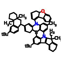 Cc1cc2c3c(c1)-n1c4c(c5cc(C(C)(C)C)cc(c51)B3C1CC=C(C3CC5(C)CCCCC5(C)c5cc(C(C)(C)C)ccc53)C=C1N2C1=C2c3ccccc3OC2CC=C1)C1=CCCC=C1C4(C)C